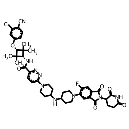 CC1(C)[C@H](NC(=O)c2ccc(N3CCC(NC4CCN(c5cc6c(cc5F)C(=O)N(C5CCC(=O)NC5=O)C6=O)CC4)CC3)nn2)C(C)(C)[C@H]1Oc1ccc(C#N)c(Cl)c1